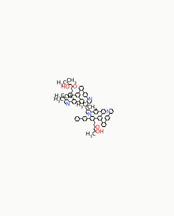 C/C(O)=C/C(=O)CCc1cc(-c2ccc(-c3ccccc3)cc2)ccc1-c1cc(-c2ccccc2-c2ccc(-c3ccccn3)cc2)cc(-c2ccccc2-c2ccc(-c3cc(CC(C)(C)c4ccnc(-c5ccc(-c6ccccc6-c6cc(-c7ccccc7CCC(=O)/C=C(\O)C(C)C)cc(-c7ccccc7-c7ccc(-c8cc(C(C)(C)C)ccn8)cc7)c6)cc5)c4)ccn3)cc2)c1